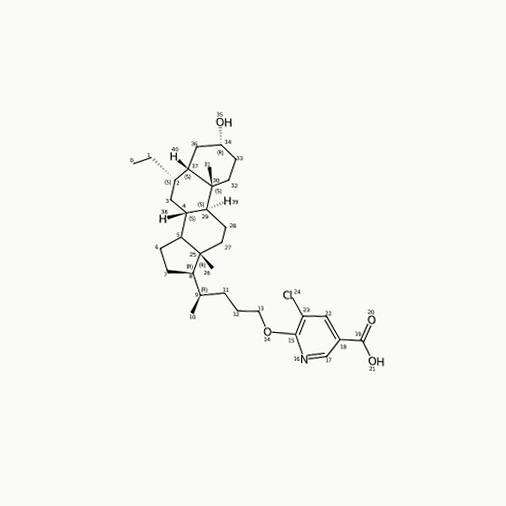 CC[C@H]1C[C@H]2C3CC[C@H]([C@H](C)CCCOc4ncc(C(=O)O)cc4Cl)[C@@]3(C)CC[C@@H]2[C@@]2(C)CC[C@@H](O)C[C@@H]12